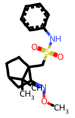 CON=C1CC2CCC1(CS(=O)(=O)Nc1ccccc1)C2(C)C